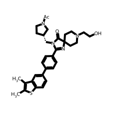 CC(=O)N1CC[C@@H](CN2C(=O)C3(CCN(CCO)CC3)N=C2c2ccc(-c3ccc4sc(C)c(C)c4c3)cc2)C1